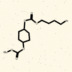 CC(C)CCCCOC(=O)OC1CCC(OC(=O)OC(C)(C)C)CC1